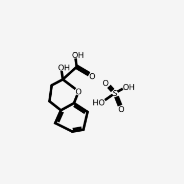 O=C(O)C1(O)CCc2ccccc2O1.O=S(=O)(O)O